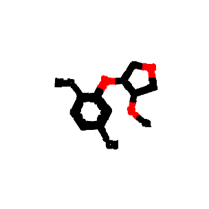 CCOC1COCC1Oc1cc(C#N)ccc1OC